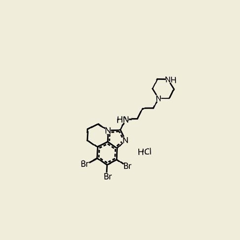 Brc1c(Br)c2c3c(nc(NCCCN4CCNCC4)n3CCC2)c1Br.Cl